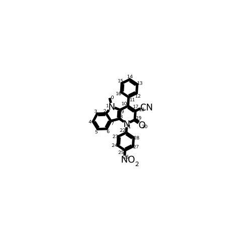 Cn1c2ccccc2c2c1c(-c1ccccc1)c(C#N)c(=O)n2-c1ccc([N+](=O)[O-])cc1